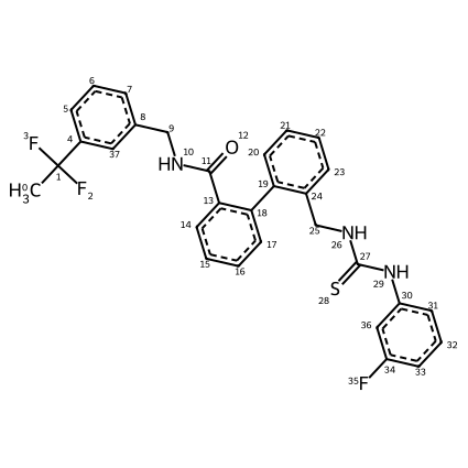 CC(F)(F)c1cccc(CNC(=O)c2ccccc2-c2ccccc2CNC(=S)Nc2cccc(F)c2)c1